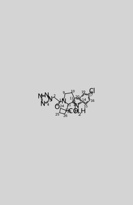 O=C(Cn1cnnn1)N1CCc2c([nH]c3ccc(Cl)cc23)C1C1(C(=O)O)CCC1